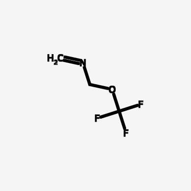 C=NCOC(F)(F)F